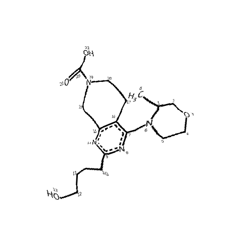 CC1COCCN1c1nc(CCCO)nc2c1CCN(C(=O)O)C2